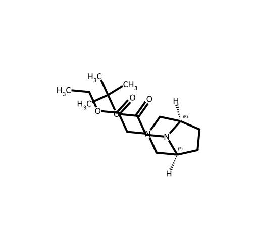 CCOC(=O)CN1C[C@H]2CC[C@@H](C1)N2CC(=O)OC(C)(C)C